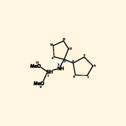 CO[SiH](NC1(C2CCCC2)CCCC1)OC